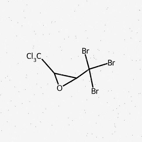 ClC(Cl)(Cl)C1OC1C(Br)(Br)Br